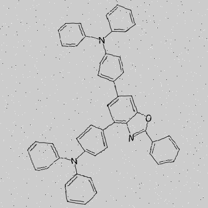 c1ccc(-c2nc3c(-c4ccc(N(c5ccccc5)c5ccccc5)cc4)cc(-c4ccc(N(c5ccccc5)c5ccccc5)cc4)cc3o2)cc1